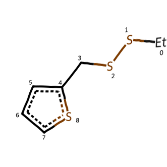 CCSSCc1cccs1